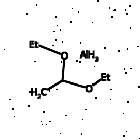 [AlH3].[CH2]C(OCC)OCC